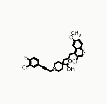 COc1ccc2ncc(Cl)c(CCCC3(C(=O)O)CCN(CC#Cc4ccc(F)c(Cl)c4)CC3)c2c1